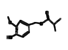 COc1cc(COC(=O)C(C)C)ccc1O